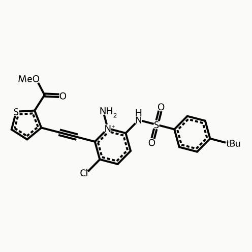 COC(=O)c1sccc1C#Cc1c(Cl)ccc(NS(=O)(=O)c2ccc(C(C)(C)C)cc2)[n+]1N